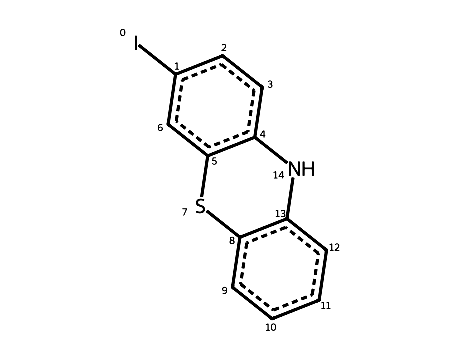 Ic1ccc2c(c1)Sc1ccccc1N2